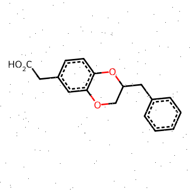 O=C(O)Cc1ccc2c(c1)OCC(Cc1ccccc1)O2